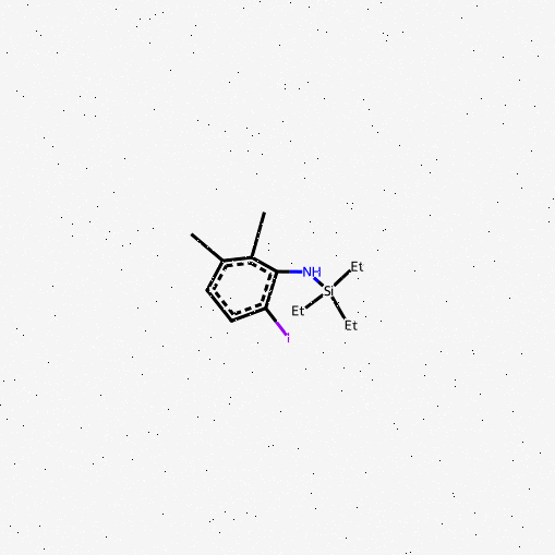 CC[Si](CC)(CC)Nc1c(I)ccc(C)c1C